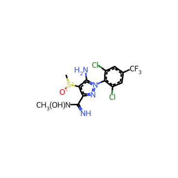 CN(O)C(=N)c1nn(-c2c(Cl)cc(C(F)(F)F)cc2Cl)c(N)c1[S+](C)[O-]